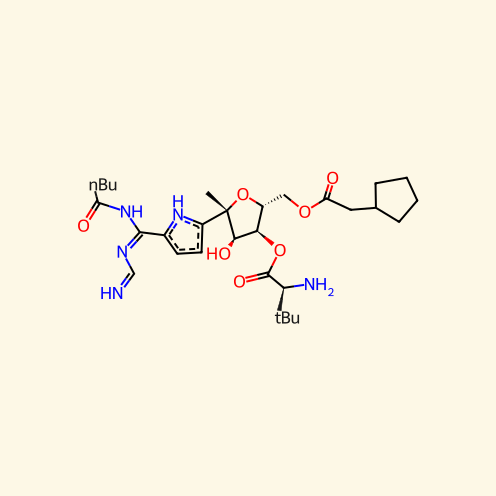 CCCCC(=O)N/C(=N/C=N)c1ccc([C@]2(C)O[C@H](COC(=O)CC3CCCC3)[C@@H](OC(=O)[C@@H](N)C(C)(C)C)[C@H]2O)[nH]1